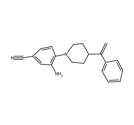 C=C(c1ccccc1)C1CCN(c2ccc(C#N)cc2N)CC1